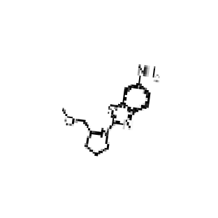 COCC1CCCN1c1nc2ccc(N)cc2s1